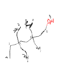 [2H]C([2H])(CC)C([2H])([2H])CO